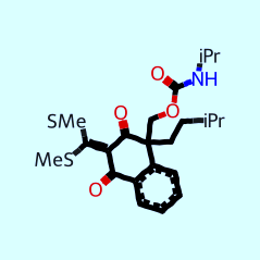 CSC(SC)=C1C(=O)c2ccccc2C(CCC(C)C)(COC(=O)NC(C)C)C1=O